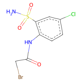 NS(=O)(=O)c1cc(Cl)ccc1NC(=O)CBr